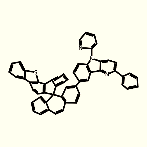 C1=Cc2ccc(-c3ccc4c(c3)c3nc(-c5ccccc5)ccc3n4-c3ccccn3)cc2C2(c3ccccc31)c1ccccc1-c1c2ccc2c1sc1ccccc12